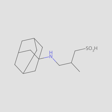 CC(CNC12CC3CC(CC(C3)C1)C2)CS(=O)(=O)O